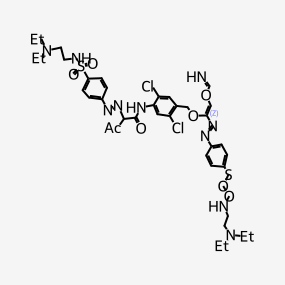 CCN(CC)CCNOOSc1ccc(N=N/C(=C/OC=N)OCc2cc(Cl)c(NC(=O)C(N=Nc3ccc(S(=O)(=O)NCCN(CC)CC)cc3)C(C)=O)cc2Cl)cc1